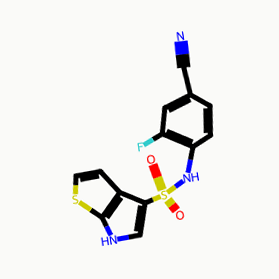 N#Cc1ccc(NS(=O)(=O)c2c[nH]c3sccc23)c(F)c1